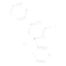 CC1(c2ccccc2)N=C(Cl)N=C(c2ccccc2)N1